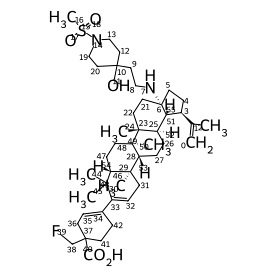 C=C(C)[C@@H]1CC[C@]2(NCCC3(O)CCN(S(C)(=O)=O)CC3)CC[C@]3(C)[C@H](CC[C@@H]4[C@@]5(C)CC=C(C6=CCC(CF)(C(=O)O)CC6)C(C)(C)[C@@H]5CC[C@]43C)[C@@H]12